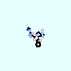 O=C(c1nnc(N2CC(F)C2)o1)N1CCc2[nH]cnc2[C@H]1c1cc2ccccc2o1